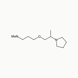 CNCCCOCC(C)N1CCCC1